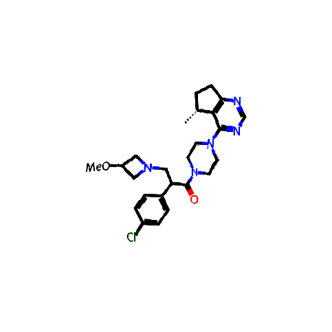 COC1CN(CC(C(=O)N2CCN(c3ncnc4c3[C@H](C)CC4)CC2)c2ccc(Cl)cc2)C1